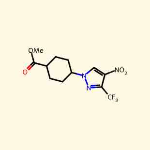 COC(=O)C1CCC(n2cc([N+](=O)[O-])c(C(F)(F)F)n2)CC1